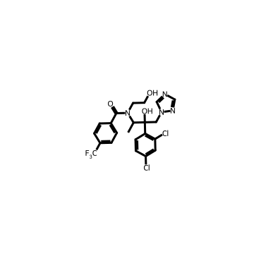 CC(N(CCO)C(=O)c1ccc(C(F)(F)F)cc1)C(O)(Cn1cncn1)c1ccc(Cl)cc1Cl